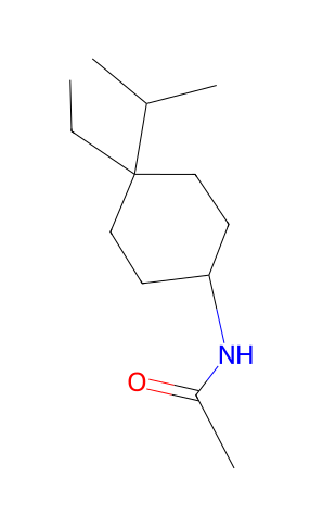 CCC1(C(C)C)CCC(NC(C)=O)CC1